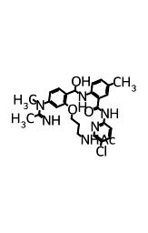 CC(=N)N(C)c1ccc(C(O)Nc2ccc(C)cc2C(=O)Nc2ccc(Cl)cn2)c(OCCCNC(C)=O)c1